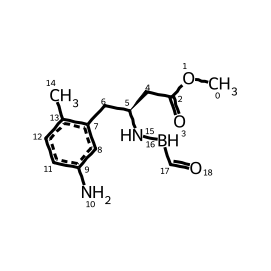 COC(=O)C[C@H](Cc1cc(N)ccc1C)NBC=O